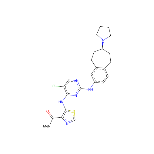 CNC(=O)c1ncsc1Nc1nc(Nc2ccc3c(c2)CC[C@@H](N2CCCC2)CC3)ncc1Cl